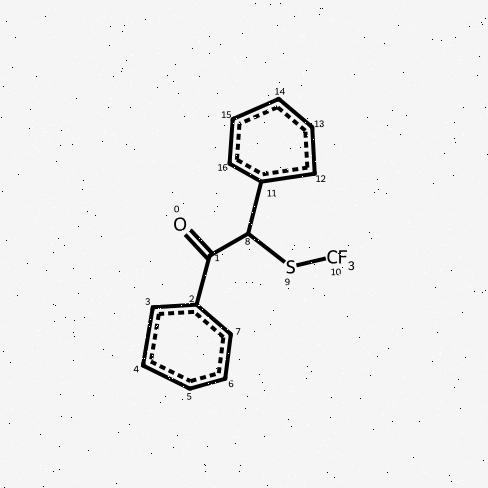 O=C(c1ccccc1)C(SC(F)(F)F)c1ccccc1